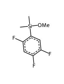 CO[Si](C)(C)c1cc(F)c(F)cc1F